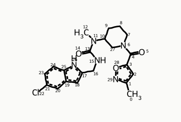 Cc1cc(C(=O)N2CCCC(N(C)C(=O)NCc3cc4cc(Cl)ccc4[nH]3)C2)on1